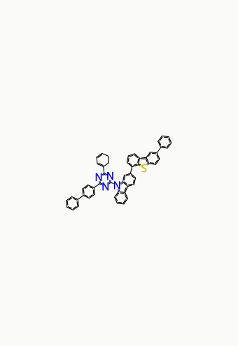 C1=CCCC(c2nc(-c3ccc(-c4ccccc4)cc3)nc(-n3c4ccccc4c4ccc(-c5cccc6c5sc5ccc(-c7ccccc7)cc56)cc43)n2)=C1